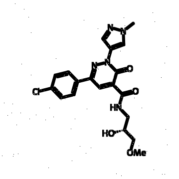 COC[C@H](O)CNC(=O)c1cc(-c2ccc(Cl)cc2)nn(-c2cnn(C)c2)c1=O